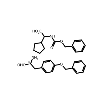 N[C@H](C=O)Cc1ccc(OCc2ccccc2)cc1.O=C(NC(C(=O)O)C1CCCC1)OCc1ccccc1